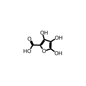 O=C(O)c1oc(O)c(O)c1O